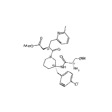 COC[C@H](N)C(=O)N[C@@]1(Cc2ccc(Cl)cc2)CCCN(C(=O)[C@@H](CC(=O)OC)Cc2cccc(C)n2)C1